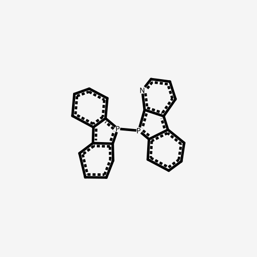 c1ccc2c(c1)c1ccccc1p2-p1c2ccccc2c2cccnc21